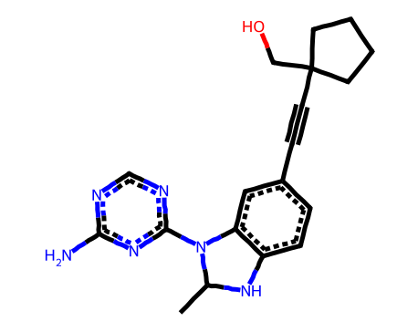 CC1Nc2ccc(C#CC3(CO)CCCC3)cc2N1c1ncnc(N)n1